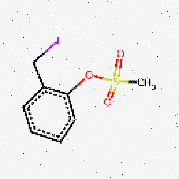 CS(=O)(=O)Oc1ccccc1CI